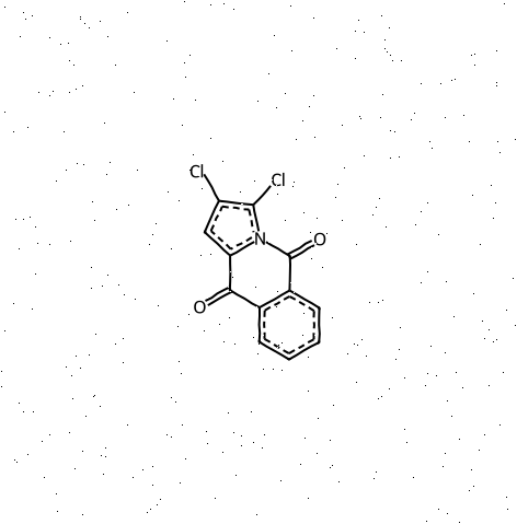 O=C1c2ccccc2C(=O)n2c1cc(Cl)c2Cl